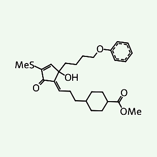 COC(=O)C1CCC(CCC=C2C(=O)C(SC)=CC2(O)CCCCOc2ccccc2)CC1